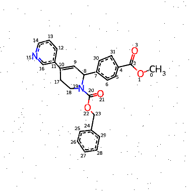 COC(=O)c1ccc(C2C=C(c3cccnc3)CCN2C(=O)OCc2ccccc2)cc1